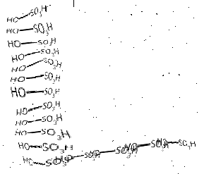 O=S(=O)(O)O.O=S(=O)(O)O.O=S(=O)(O)O.O=S(=O)(O)O.O=S(=O)(O)O.O=S(=O)(O)O.O=S(=O)(O)O.O=S(=O)(O)O.O=S(=O)(O)O.O=S(=O)(O)O.O=S(=O)(O)O.O=S(=O)(O)O.O=S(=O)(O)O.O=S(=O)(O)O.O=S(=O)(O)O.O=S(=O)(O)O